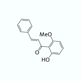 COc1cccc(O)c1C(=O)C=Cc1ccccc1